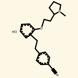 CN1CCCC1CCOc1ccccc1CCc1ccc(C#N)cc1.Cl